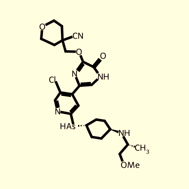 COC[C@@H](C)N[C@H]1CC[C@H]([AsH]c2cc(-c3c[nH]c(=O)c(OCC4(C#N)CCOCC4)n3)c(Cl)cn2)CC1